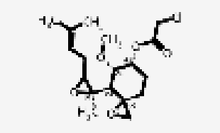 CO[C@@H]1[C@H](OC(=O)CCl)CC[C@]2(CO2)[C@H]1[C@@]1(C)OC1CC=C(C)C